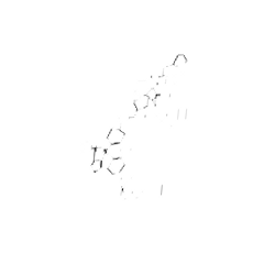 O=C(O)COc1ccc2c(c1)Oc1cc(OCC3=CSC4C(NC(=O)Cc5cccs5)C(=O)N4C3C(=O)O)ccc1C21OC(=O)c2ccccc21